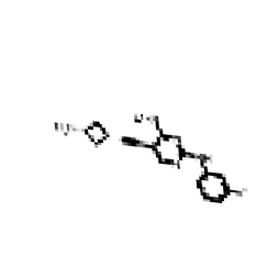 CNc1nc(Nc2cccc(F)c2)ncc1C#C[C@H]1C[C@@H](N)C1